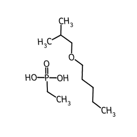 CCCCCOCC(C)C.CCP(=O)(O)O